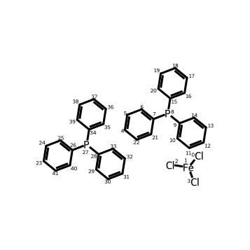 [Cl][Fe]([Cl])[Cl].c1ccc(P(c2ccccc2)c2ccccc2)cc1.c1ccc(P(c2ccccc2)c2ccccc2)cc1